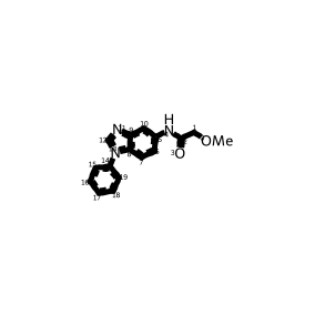 COCC(=O)Nc1ccc2c(c1)ncn2-c1ccccc1